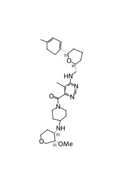 CO[C@@H]1COCC[C@@H]1NC1CCN(C(=O)c2ncnc(NC[C@H]3CCC[C@@H](C4=CC=C(C)CC4)O3)c2C)CC1